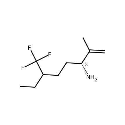 C=C(C)[C@H](N)CCC(CC)C(F)(F)F